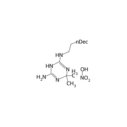 CCCCCCCCCCCCNC1=NC(C)(C)N=C(N)N1.O=[N+]([O-])O